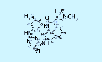 Cc1cc(NC(=O)/C=C/CN(C)C)cc(Nc2ncc(Cl)c(Nc3ccc4ccccc4c3)n2)c1